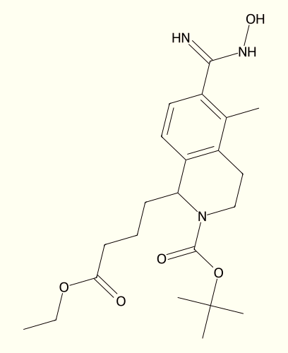 CCOC(=O)CCCC1c2ccc(C(=N)NO)c(C)c2CCN1C(=O)OC(C)(C)C